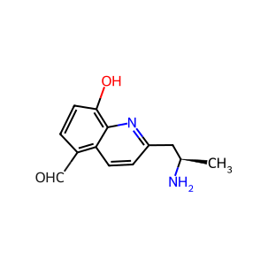 C[C@@H](N)Cc1ccc2c(C=O)ccc(O)c2n1